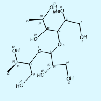 COC(CO)C(OC(OC(CO)[C@@H](C)O)[C@@H](O)CO)C(O)[C@@H](C)O